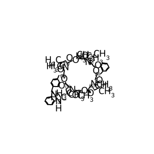 CC(C)C[C@H]1C(=O)O[C@H](Cc2ccc(CN3CCNc4ccccc43)cc2)C(=O)N(C)[C@@H](CC(C)C)C(=O)O[C@H](C)C(=O)N(C)[C@@H](CC(C)C)C(=O)O[C@H](Cc2ccccc2)C(=O)N(C)[C@@H](CC(C)C)C(=O)O[C@H](C)C(=O)N1C